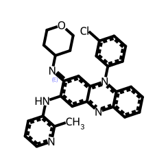 Cc1ncccc1Nc1cc2nc3ccccc3n(-c3cccc(Cl)c3)c-2c/c1=N\C1CCOCC1